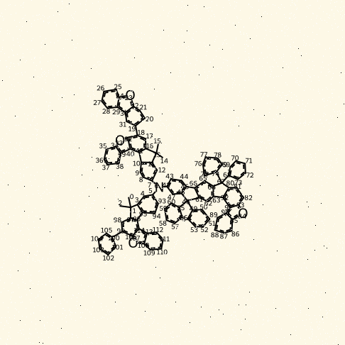 CC1(C)c2cc(N(c3ccc4c(c3)C(C)(C)c3cc(-c5ccc6oc7ccccc7c6c5)c5oc6ccccc6c5c3-4)c3ccc4c(c3)C(c3ccccc3)(c3ccccc3)c3cc5c(cc3-4)C(c3ccccc3)(c3ccccc3)c3ccc4oc6ccccc6c4c3-5)ccc2-c2c1cc(-c1ccccc1)c1oc3ccccc3c21